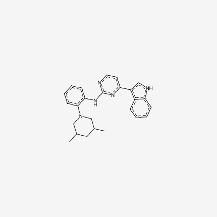 CC1CC(C)CN(c2ccccc2Nc2nccc(-c3c[nH]c4ccccc34)n2)C1